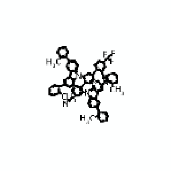 Cc1ccccc1-c1ccc2c(c1)c1cc(-c3ccccc3C)ccc1n2-c1cc(C#N)ccc1-c1ccc(-c2ccc(C(F)(F)F)cc2C#N)cc1-n1c2ccc(-c3ccccc3C)cc2c2cc(-c3ccccc3C)ccc21